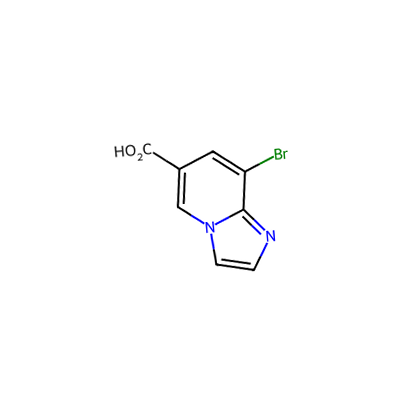 O=C(O)c1cc(Br)c2nccn2c1